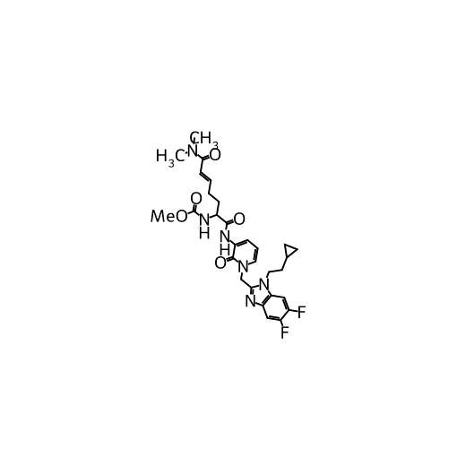 COC(=O)NC(CCC=CC(=O)N(C)C)C(=O)Nc1cccn(Cc2nc3cc(F)c(F)cc3n2CCC2CC2)c1=O